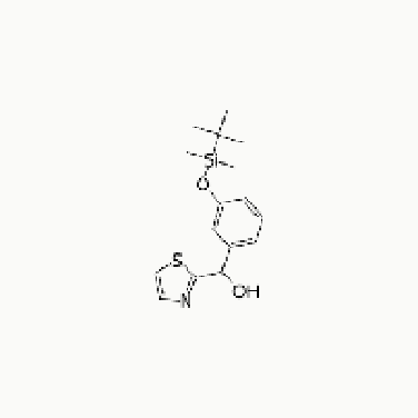 CC(C)(C)[Si](C)(C)Oc1cccc(C(O)c2nccs2)c1